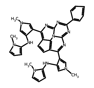 Cn1cc(Nc2cccn2C)c(-c2nc3nc(-c4ccccc4)nc4nc(-c5cn(C)cc5Nc5cccn5C)c5ccc2c5n34)c1